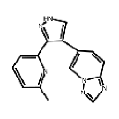 Cc1cccc(-c2n[nH]cc2-c2ccc3ncnn3c2)n1